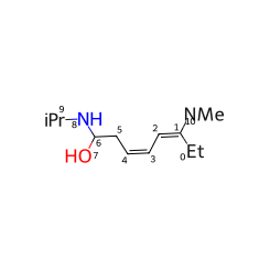 CC/C(=C\C=C/CC(O)NC(C)C)NC